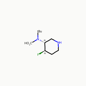 CC(C)(C)N(C(=O)O)[C@@H]1CNCC[C@H]1F